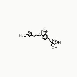 Cc1cc(CCCOc2ccc(CCC(N)(CO)CO)cc2C(F)(F)F)cs1